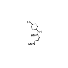 CNC/C=C\C(=N)NC1CCC(=N)CC1